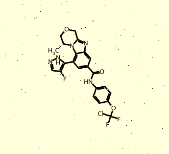 C[C@@H]1COCc2nc3cc(C(=O)Nc4ccc(OC(F)(F)Cl)cc4)cc(-c4[nH]ncc4F)c3n21